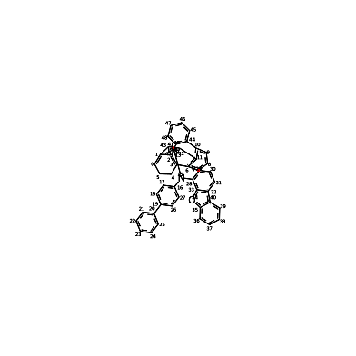 C1=C2C3=C(CC1)c1cccc(c1-c1cc(N(c4ccc(-c5ccccc5)cc4)c4cccc5c4oc4ccccc45)ccc12)-c1ccccc13